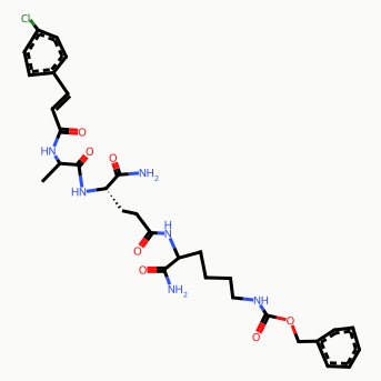 CC(NC(=O)/C=C/c1ccc(Cl)cc1)C(=O)N[C@@H](CCC(=O)NC(CCCCNC(=O)OCc1ccccc1)C(N)=O)C(N)=O